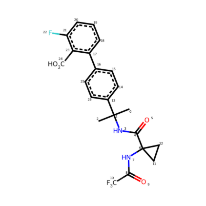 CC(C)(NC(=O)C1(NC(=O)C(F)(F)F)CC1)c1ccc(-c2cccc(F)c2C(=O)O)cc1